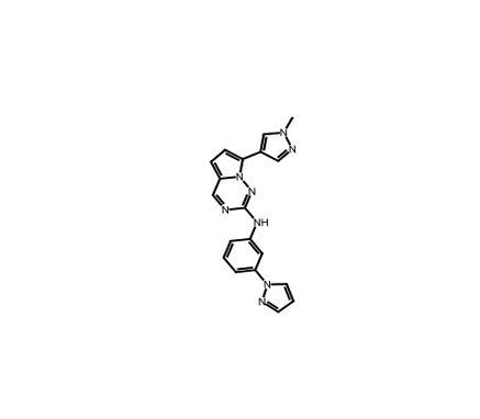 Cn1cc(-c2ccc3cnc(Nc4cccc(-n5cccn5)c4)nn23)cn1